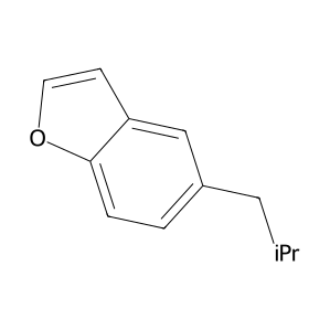 CC(C)Cc1ccc2occc2c1